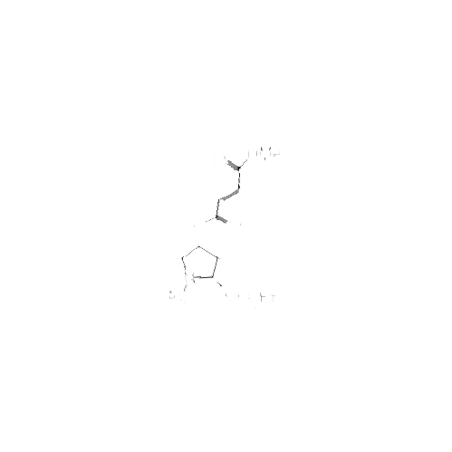 CCOC(=O)[C@@H]1C[C@@H](OC(=O)/C=C/C(=O)OC)CN1C(C)=O